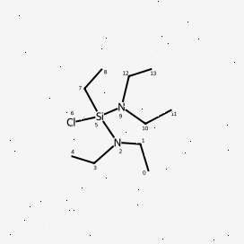 CCN(CC)[Si](Cl)(CC)N(CC)CC